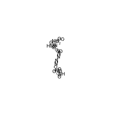 NC(=O)c1c(-c2ccc(Oc3ccccc3)cc2)nn2c1NCC[C@H]2C1CCN(C(=O)N2CCN(CCN3CCN(c4ccc5c(c4)C(=O)N(C4CCC(=O)NC4=O)C5=O)CC3)CC2)CC1